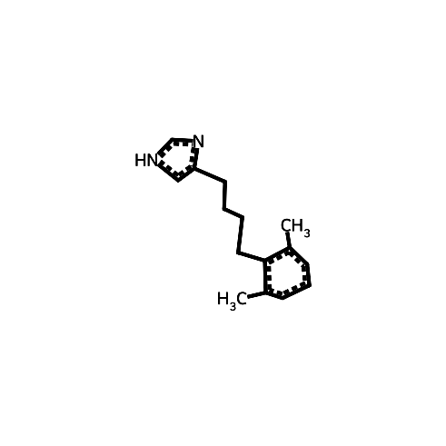 Cc1cccc(C)c1CCCCc1c[nH]cn1